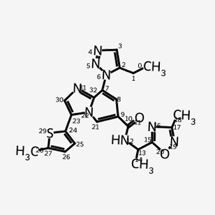 CCc1cnnn1-c1cc(C(=O)NC(C)c2nc(C)no2)cn2c(-c3ccc(C)s3)cnc12